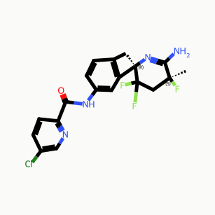 C[C@]1(F)CC(F)(F)[C@]2(Cc3ccc(NC(=O)c4ccc(Cl)cn4)cc32)N=C1N